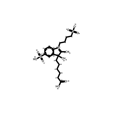 CC1=[N+](CCCCS(=O)(=O)[O-])c2ccc(S(=O)(=O)O)cc2C1(C)CCCCCC(=O)O